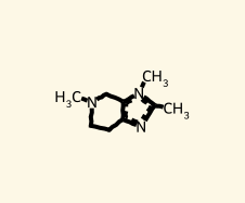 Cc1nc2c(n1C)CN(C)CC2